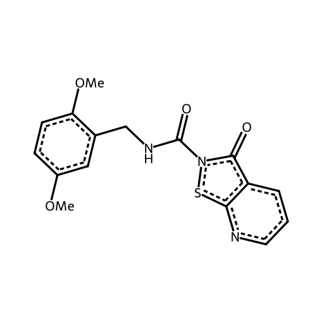 COc1ccc(OC)c(CNC(=O)n2sc3ncccc3c2=O)c1